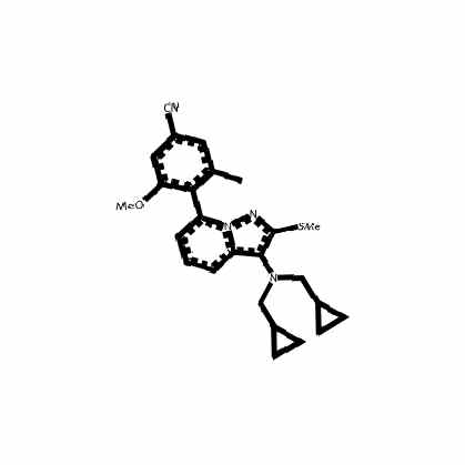 COc1cc(C#N)cc(C)c1-c1cccc2c(N(CC3CC3)CC3CC3)c(SC)nn12